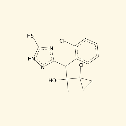 CC(O)(C(c1n[nH]c(S)n1)c1ccccc1Cl)C1(Cl)CC1